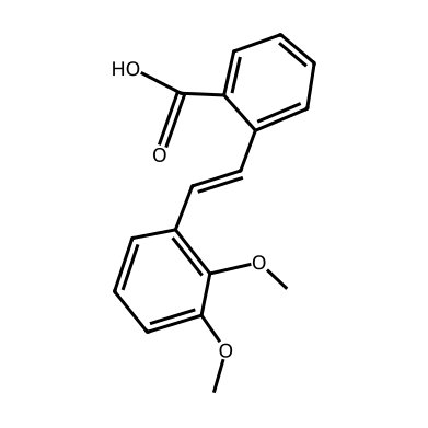 COc1cccc(/C=C/c2ccccc2C(=O)O)c1OC